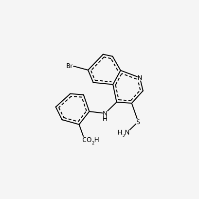 NSc1cnc2ccc(Br)cc2c1Nc1ccccc1C(=O)O